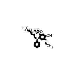 CCCCC1CN(c2ccccc2)c2cc(SCC)c(O)cc2S(=O)(=O)N1C